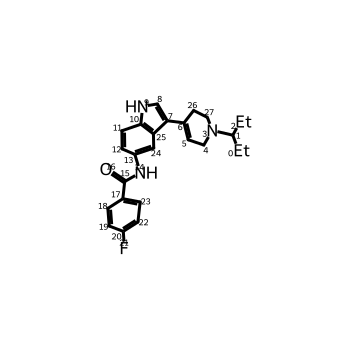 CCC(CC)N1CC=C(c2c[nH]c3ccc(NC(=O)c4ccc(F)cc4)cc23)CC1